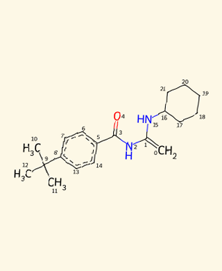 C=C(NC(=O)c1ccc(C(C)(C)C)cc1)NC1CCCCC1